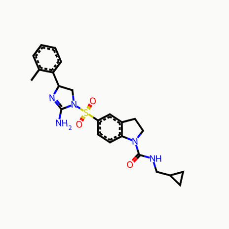 Cc1ccccc1C1CN(S(=O)(=O)c2ccc3c(c2)CCN3C(=O)NCC2CC2)C(N)=N1